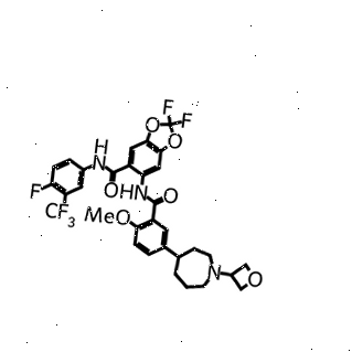 COc1ccc(C2CCCN(C3COC3)CC2)cc1C(=O)Nc1cc2c(cc1C(=O)Nc1ccc(F)c(C(F)(F)F)c1)OC(F)(F)O2